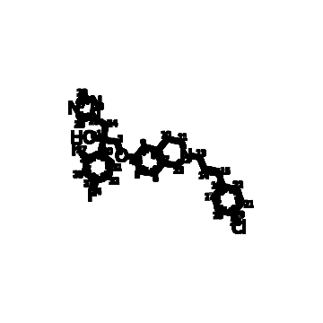 OC(COc1ccc2c(c1)CCN(CC=Cc1ccc(Cl)cc1)C2)(Cn1cncn1)c1ccc(F)cc1F